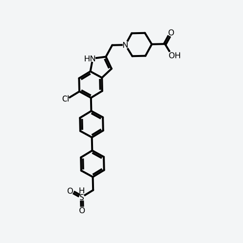 O=C(O)C1CCN(Cc2cc3cc(-c4ccc(-c5ccc(C[SH](=O)=O)cc5)cc4)c(Cl)cc3[nH]2)CC1